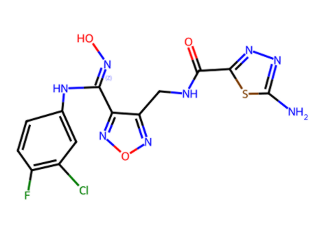 Nc1nnc(C(=O)NCc2nonc2/C(=N/O)Nc2ccc(F)c(Cl)c2)s1